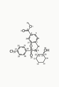 COC(=O)c1ccc(CN([C@H]2CCCC[C@@H]2O)S(=O)(=O)c2ccc(Cl)cc2)cc1